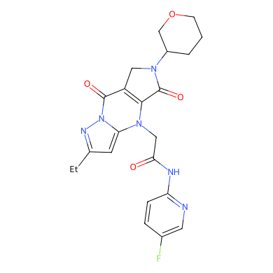 CCc1cc2n(CC(=O)Nc3ccc(F)cn3)c3c(c(=O)n2n1)CN(C1CCCOC1)C3=O